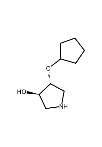 O[C@@H]1CNC[C@H]1OC1CCCC1